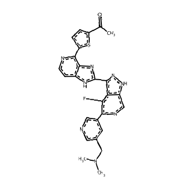 CC(=O)c1ccc(-c2nccc3[nH]c(-c4n[nH]c5cnc(-c6cncc(CN(C)C)c6)c(F)c45)nc23)s1